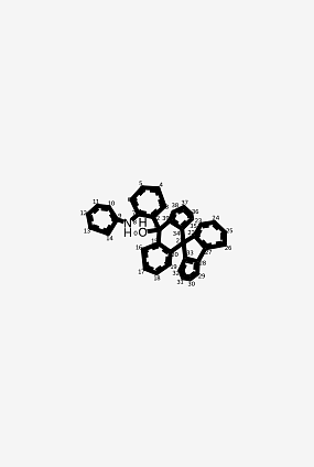 OC1(c2ccccc2Nc2ccccc2)c2ccccc2C2(c3ccccc3-c3ccccc32)c2ccccc21